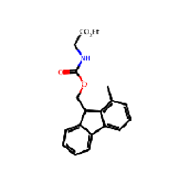 CCOC(=O)CNC(=O)OCC1c2ccccc2-c2cccc(C)c21